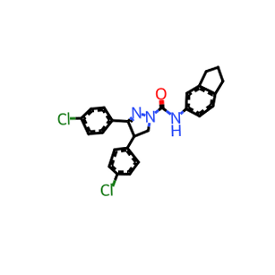 O=C(Nc1ccc2c(c1)CCC2)N1CC(c2ccc(Cl)cc2)C(c2ccc(Cl)cc2)=N1